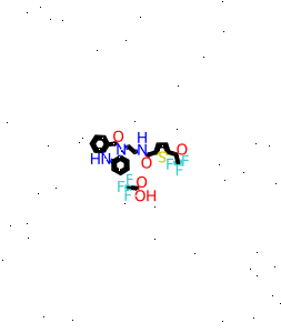 O=C(NCCN1C(=O)c2ccccc2Nc2ccccc21)c1ccc(C(=O)C(F)(F)F)s1.O=C(O)C(F)(F)F